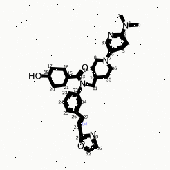 CN(C)c1ccc(N2CCC(CN(C(=O)C3CCC(O)CC3)c3cccc(/C=C/c4ncco4)c3)CC2)cn1